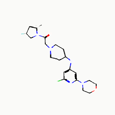 C[C@@H]1C[C@H](F)CN1C(=O)CN1CCC(Nc2cc(Cl)nc(N3CCOCC3)c2)CC1